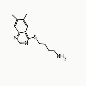 Cc1cc2ncnc(SCCCCN)c2cc1C